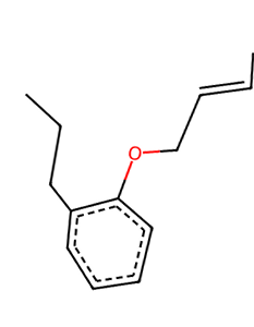 CC=CCOc1ccccc1CCC